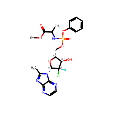 Cc1nc2nccnc2n1[C@@H]1O[C@H](COP(=O)(NC(C)C(=O)OC(C)C)Oc2ccccc2)[C@@H](O)[C@]1(F)Cl